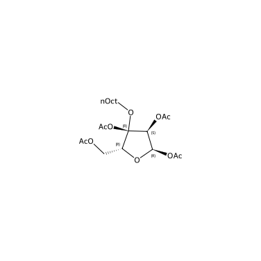 CCCCCCCCO[C@@]1(OC(C)=O)[C@@H](COC(C)=O)O[C@H](OC(C)=O)[C@@H]1OC(C)=O